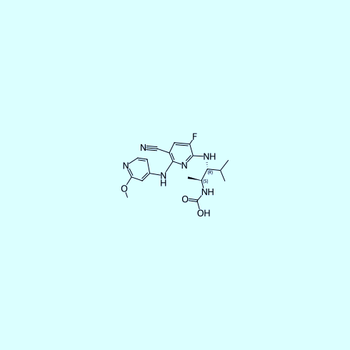 COc1cc(Nc2nc(N[C@H](C(C)C)[C@H](C)NC(=O)O)c(F)cc2C#N)ccn1